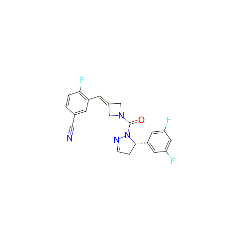 N#Cc1ccc(F)c(C=C2CN(C(=O)N3N=CC[C@H]3c3cc(F)cc(F)c3)C2)c1